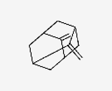 C=C1C2CC3CC1CC(C2)C3=C